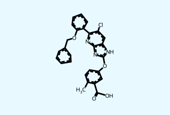 Cc1ccc(Oc2nc3nc(-c4ccccc4OCc4ccccc4)c(Cl)cc3[nH]2)cc1C(=O)O